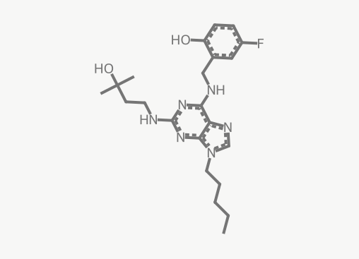 CCCCCn1cnc2c(NCc3cc(F)ccc3O)nc(NCCC(C)(C)O)nc21